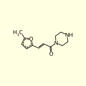 Cc1ccc(C=CC(=O)N2CCNCC2)o1